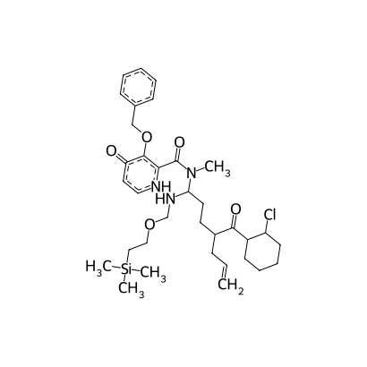 C=CCC(CCC(NCOCC[Si](C)(C)C)N(C)C(=O)c1[nH]ccc(=O)c1OCc1ccccc1)C(=O)C1CCCCC1Cl